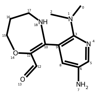 CN(C)c1ncc(N)cc1C1=C(C=O)OCCCN1